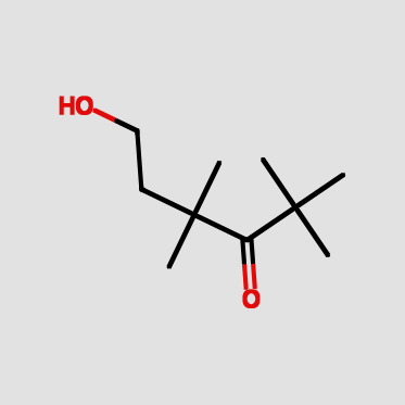 CC(C)(C)C(=O)C(C)(C)CCO